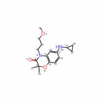 COCCCN1C(=O)C(C)(C)Oc2ccc(NC3CC3)cc21